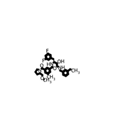 CCc1cccc(CNC[C@H](O)[C@H](Cc2cc(F)cc(F)c2)NC(=O)c2cc(C)cc(C(=O)N3CCCC3COC)c2)c1